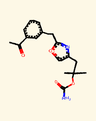 CC(=O)c1cccc(Cc2nc(CC(C)(C)OC(N)=O)co2)c1